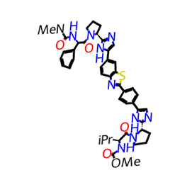 CNC(=O)N[C@@H](C(=O)N1CCC[C@H]1c1ncc(-c2ccc3nc(-c4ccc(-c5cnc([C@@H]6CCCN6C(=O)[C@@H](NC(=O)OC)C(C)C)[nH]5)cc4)sc3c2)[nH]1)c1ccccc1